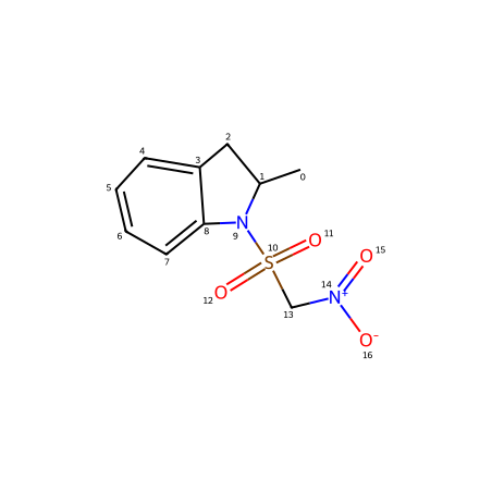 CC1Cc2ccccc2N1S(=O)(=O)C[N+](=O)[O-]